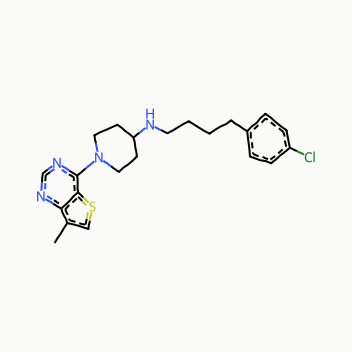 Cc1csc2c(N3CCC(NCCCCc4ccc(Cl)cc4)CC3)ncnc12